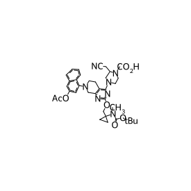 CC(=O)Oc1cc(N2CCc3c(nc(OCC4(N(C)C(=O)OC(C)(C)C)CC4)nc3N3CCN(C(=O)O)C(CC#N)C3)C2)c2ccccc2c1